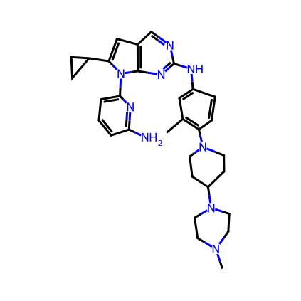 Cc1cc(Nc2ncc3cc(C4CC4)n(-c4cccc(N)n4)c3n2)ccc1N1CCC(N2CCN(C)CC2)CC1